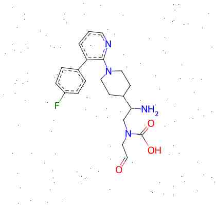 NC(CN(CC=O)C(=O)O)C1CCN(c2ncccc2-c2ccc(F)cc2)CC1